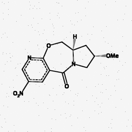 CO[C@H]1C[C@@H]2COc3ncc([N+](=O)[O-])cc3C(=O)N2C1